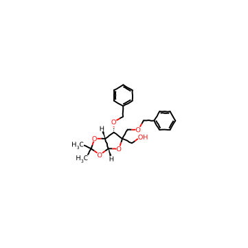 CC1(C)O[C@H]2OC(CO)(COCc3ccccc3)[C@@H](OCc3ccccc3)[C@H]2O1